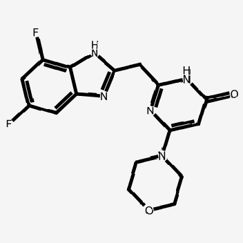 O=c1cc(N2CCOCC2)nc(Cc2nc3cc(F)cc(F)c3[nH]2)[nH]1